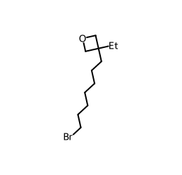 CCC1(CCCCCCCBr)COC1